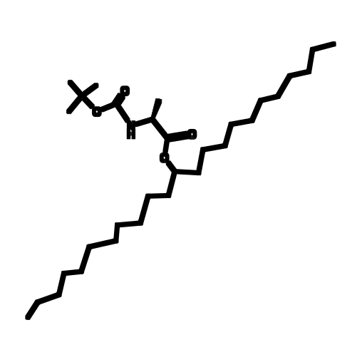 CCCCCCCCCCCC(CCCCCCCCCCC)OC(=O)[C@H](C)NC(=O)OC(C)(C)C